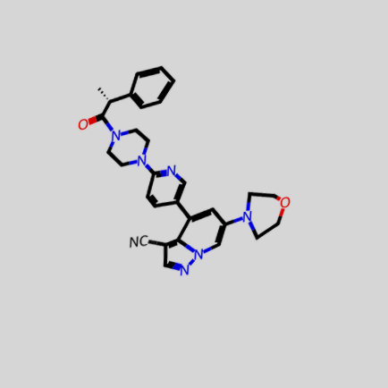 C[C@@H](C(=O)N1CCN(c2ccc(-c3cc(N4CCOCC4)cn4ncc(C#N)c34)cn2)CC1)c1ccccc1